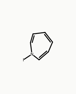 IN1C=CC=CC=C1